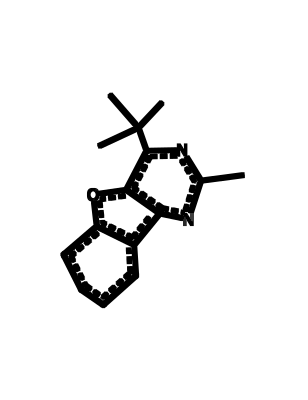 Cc1nc(C(C)(C)C)c2oc3ccccc3c2n1